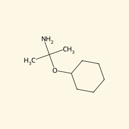 CC(C)(N)OC1CCCCC1